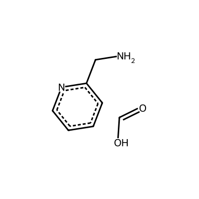 NCc1ccccn1.O=CO